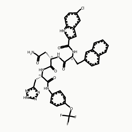 NC(=O)C[C@H](NC(=O)[C@H](Cc1ccc2ccccc2c1)NC(=O)c1cc2cc(Cl)ccc2[nH]1)C(=O)N[C@@H](Cc1nn[nH]n1)C(=O)Nc1ccc(OC(F)(F)F)cc1